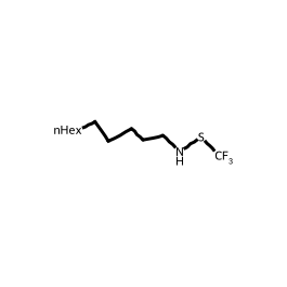 CCCCCCCCCCCNSC(F)(F)F